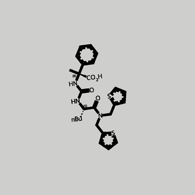 CCCC[C@H](NC(=O)N[C@@](C)(C(=O)O)c1ccccc1)C(=O)N(Cc1cccs1)Cc1cccs1